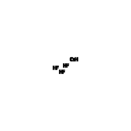 F.F.F.[CsH]